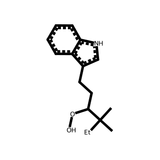 CCC(C)(C)C(CCc1c[nH]c2ccccc12)OO